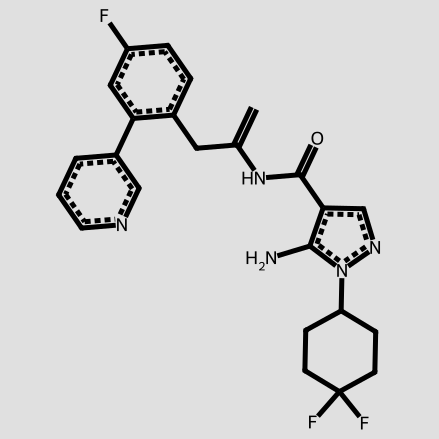 C=C(Cc1ccc(F)cc1-c1cccnc1)NC(=O)c1cnn(C2CCC(F)(F)CC2)c1N